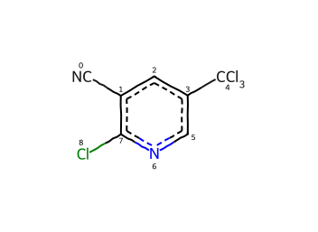 N#Cc1cc(C(Cl)(Cl)Cl)cnc1Cl